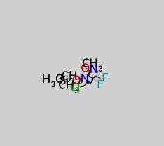 COc1ncc(C(F)F)c2cc(CCl)n(COCC[Si](C)(C)C)c12